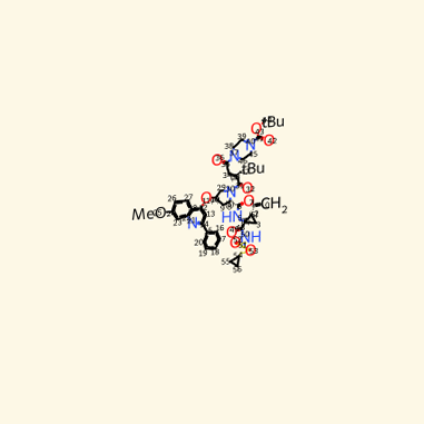 C=C[C@@H]1C[C@]1(NC(=O)[C@@H]1C[C@@H](Oc2cc(-c3ccccc3)nc3cc(OC)ccc23)CN1C(=O)[C@@H](CC(=O)N1CCN(C(=O)OC(C)(C)C)CC1)C(C)(C)C)C(=O)NS(=O)(=O)C1CC1